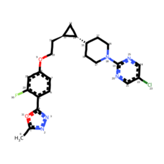 Cc1nnc(-c2ccc(OCC[C@H]3C[C@@H]3C3CCN(c4ncc(Cl)cn4)CC3)cc2F)o1